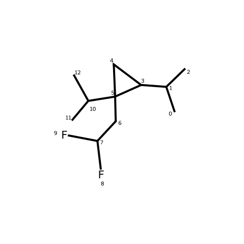 CC(C)C1CC1(CC(F)F)C(C)C